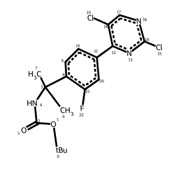 CC(C)(C)OC(=O)NC(C)(C)c1ccc(-c2nc(Cl)ncc2Cl)cc1F